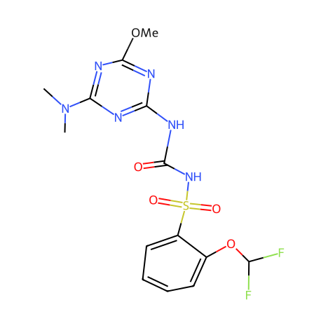 COc1nc(NC(=O)NS(=O)(=O)c2ccccc2OC(F)F)nc(N(C)C)n1